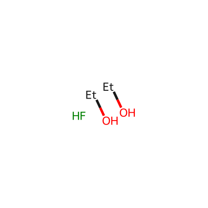 CCO.CCO.F